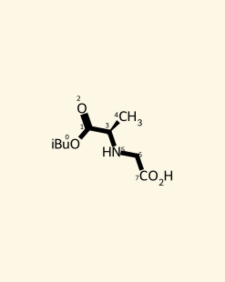 CC(C)COC(=O)[C@@H](C)NCC(=O)O